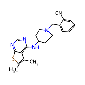 [C-]#[N+]c1ccccc1CN1CCC(Nc2ncnc3sc(C)c(C)c23)CC1